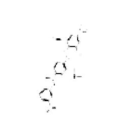 CC(=O)Nc1cc(N(C)Cc2cccc([N+](=O)[O-])c2)ccc1/N=N/c1c(Br)cc([N+](=O)[O-])cc1C#N